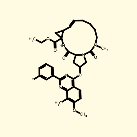 CCOC(=O)C12CC1/C=C/CCCCN(C)C(=O)N1CC(Oc3nc(-c4cccc(F)c4)nc4c(C)c(OC)ccc34)CC1C(=O)N2